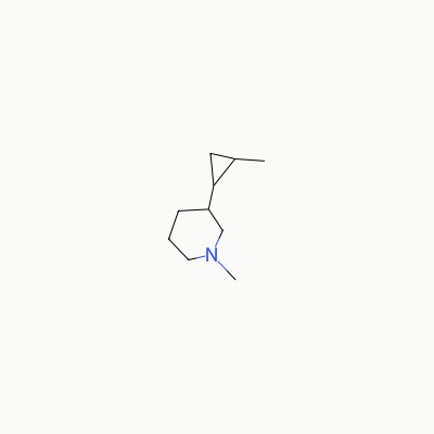 CC1CC1C1CCCN(C)C1